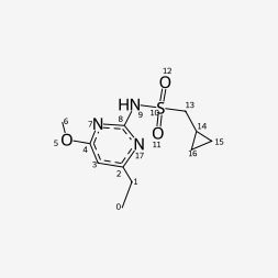 CCc1cc(OC)nc(NS(=O)(=O)CC2CC2)n1